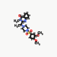 COc1ccc(S(=O)(=O)N2CCN(C(C)c3nc4ccccc4c(=O)n3C)CC2)cc1OC